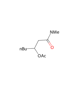 CCCCC(CC(=O)NC)OC(C)=O